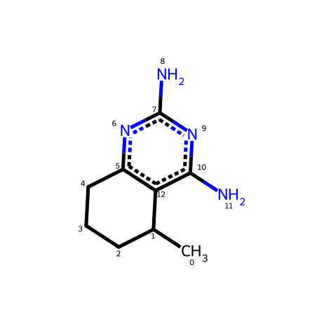 CC1CCCc2nc(N)nc(N)c21